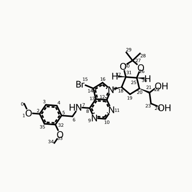 COc1ccc(CNc2ncnc3c2c(Br)cn3[C@@H]2C[C@H](C(O)CO)[C@H]3OC(C)(C)O[C@H]32)c(OC)c1